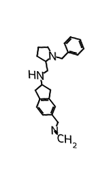 C=NCc1ccc2c(c1)CC(NCC1CCCN1Cc1ccccc1)C2